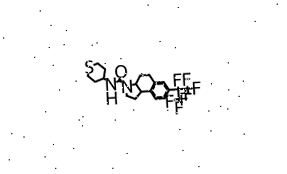 O=C(NC1CCSCC1)N1CCC2c3ccc(C(F)(C(F)(F)F)C(F)(F)F)cc3CCC21